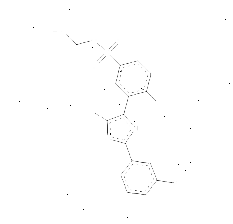 CCOS(=O)(=O)c1ccc(C)c(-c2nc(-c3cccc(Br)c3)oc2C)c1